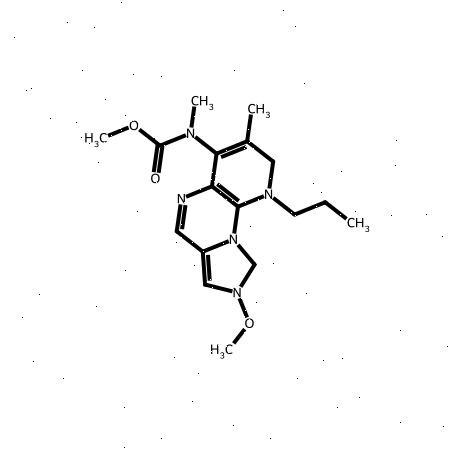 CCCN1CC(C)=C(N(C)C(=O)OC)C2=C1N1CN(OC)C=C1C=N2